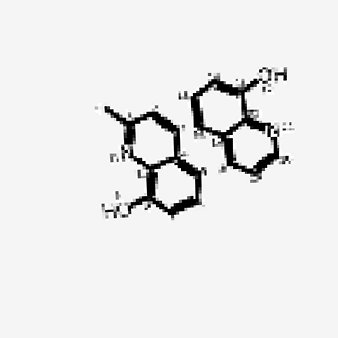 Cc1ccc2cccc(O)c2n1.Oc1cccc2cccnc12